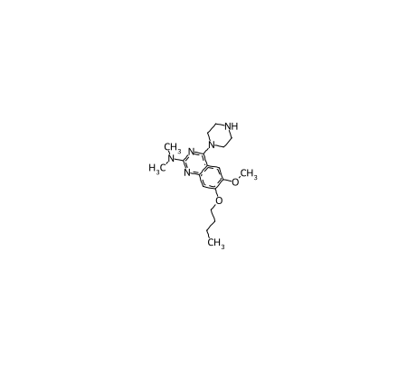 CCCCOc1cc2nc(N(C)C)nc(N3CCNCC3)c2cc1OC